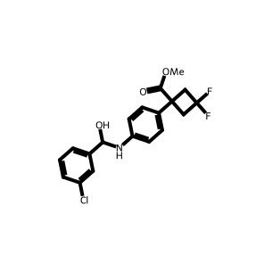 COC(=O)C1(c2ccc(NC(O)c3cccc(Cl)c3)cc2)CC(F)(F)C1